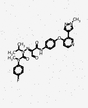 CC(C)N(/N=C(\C=O)C(=O)Nc1ccc(Oc2ccncc2-c2cnn(C)c2)cc1)C(=O)N(C)c1ccc(F)cc1